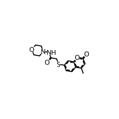 Cc1cc(=O)oc2cc(SCC(=O)NN3CCOCC3)ccc12